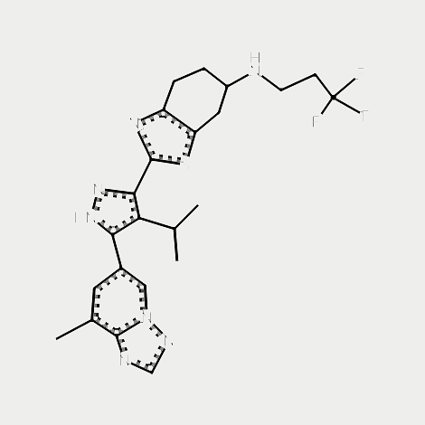 Cc1cc(-c2[nH]nc(-c3nc4c(s3)CC(NCCC(F)(F)F)CC4)c2C(C)C)cn2ncnc12